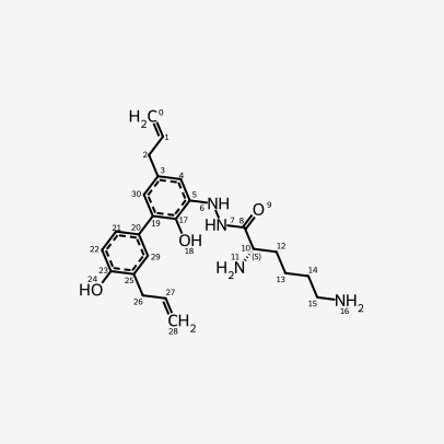 C=CCc1cc(NNC(=O)[C@@H](N)CCCCN)c(O)c(-c2ccc(O)c(CC=C)c2)c1